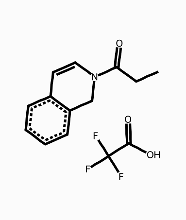 CCC(=O)N1C=Cc2ccccc2C1.O=C(O)C(F)(F)F